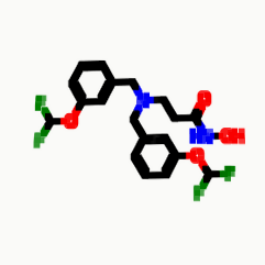 O=C(CCN(Cc1cccc(OC(F)F)c1)Cc1cccc(OC(F)F)c1)NO